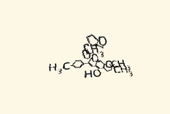 COC(=O)C(=Cc1ccc2c(c1O)C=CC(C)(C)O2)c1ccc(C)cc1.c1ccc2c(c1)CO2